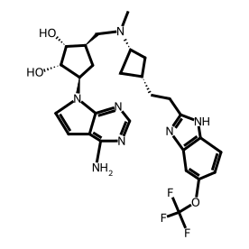 CN(C[C@H]1C[C@@H](n2ccc3c(N)ncnc32)[C@H](O)[C@@H]1O)[C@H]1C[C@@H](CCc2nc3cc(OC(F)(F)F)ccc3[nH]2)C1